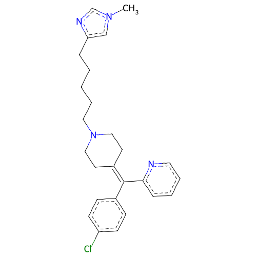 Cn1cnc(CCCCCN2CCC(=C(c3ccc(Cl)cc3)c3ccccn3)CC2)c1